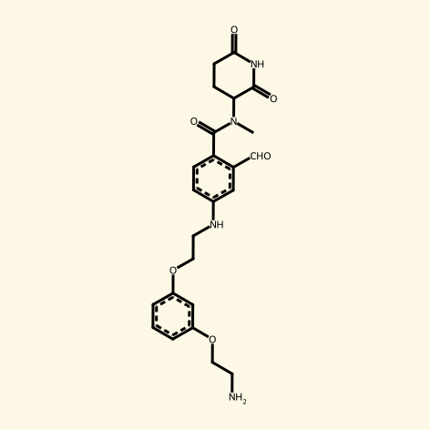 CN(C(=O)c1ccc(NCCOc2cccc(OCCN)c2)cc1C=O)C1CCC(=O)NC1=O